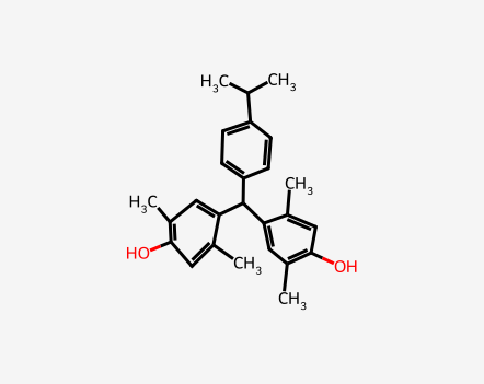 Cc1cc(C(c2ccc(C(C)C)cc2)c2cc(C)c(O)cc2C)c(C)cc1O